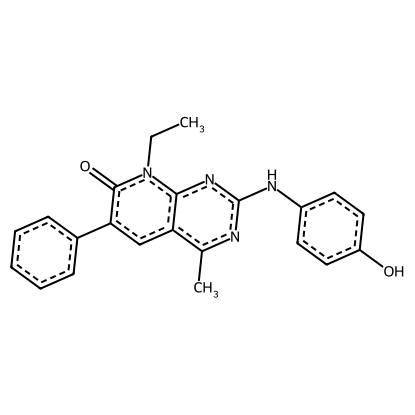 CCn1c(=O)c(-c2ccccc2)cc2c(C)nc(Nc3ccc(O)cc3)nc21